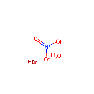 Br.O.O=[N+]([O-])O